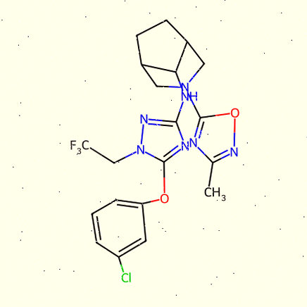 Cc1noc(N2CC3CCC(C2)C3Nc2nc(Oc3cccc(Cl)c3)n(CC(F)(F)F)n2)n1